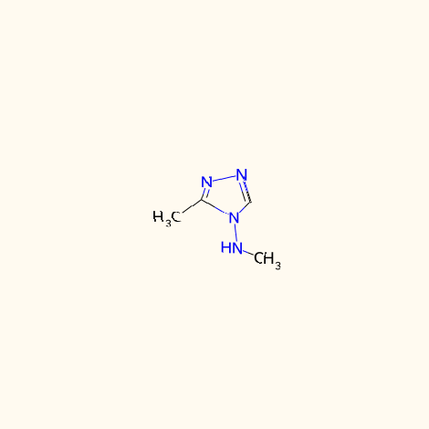 CNn1cnnc1C